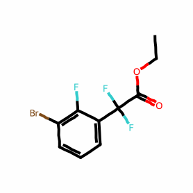 CCOC(=O)C(F)(F)c1cccc(Br)c1F